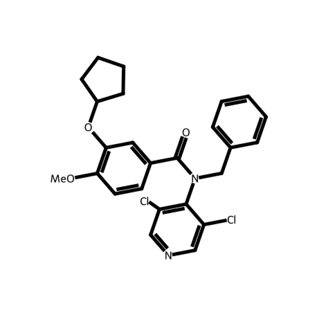 COc1ccc(C(=O)N(Cc2ccccc2)c2c(Cl)cncc2Cl)cc1OC1CCCC1